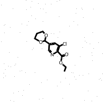 CCOC(=O)c1ncc(C2OCCCO2)cc1Cl